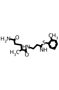 Cc1ccccc1SC(=N)CCNC(=O)C(C)CCC(N)=O